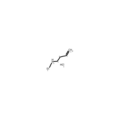 C=CCCNCC.Cl